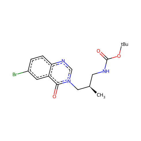 C[C@H](CNC(=O)OC(C)(C)C)Cn1cnc2ccc(Br)cc2c1=O